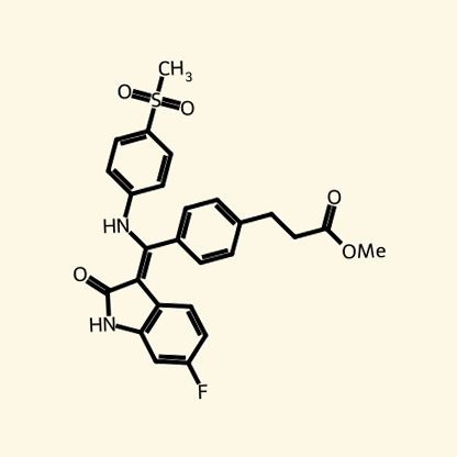 COC(=O)CCc1ccc(/C(Nc2ccc(S(C)(=O)=O)cc2)=C2/C(=O)Nc3cc(F)ccc32)cc1